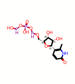 Cc1[nH]c(=O)ccc1[C@@H]1O[C@H](COPOP(=O)(O)OPO)[C@H](O)[C@@H]1O